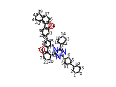 c1ccc(-c2ccc(-c3nc(-c4ccccc4)nc(-c4cccc5oc6cc(-c7ccc8c(c7)oc7ccc9ccccc9c78)ccc6c45)n3)cc2)cc1